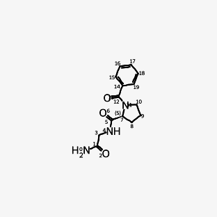 NC(=O)CNC(=O)[C@@H]1CCCN1C(=O)c1ccccc1